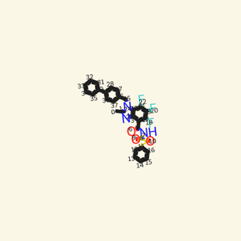 Cc1nc2c(C(=O)NS(=O)(=O)c3ccccc3)c(F)c(F)c(F)c2n1Cc1ccc(-c2ccccc2)cc1